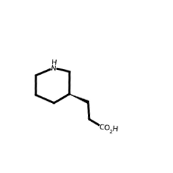 O=C(O)CC[C@H]1CCCNC1